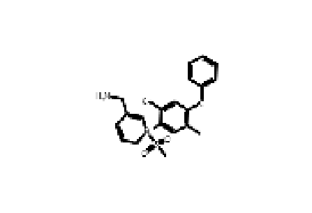 Cc1cc([N+]2(S(C)(=O)=O)C=C(CN)C=CC2)c(Cl)cc1Oc1ccccc1